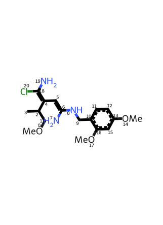 COCC(C)C(/C=C(\N)NCc1ccc(OC)cc1OC)=C(/N)Cl